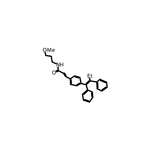 CCC(=C(c1ccccc1)c1ccc(C=CC(=O)NCCCOC)cc1)c1ccccc1